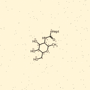 CCCCCCCC(=O)NC1C(C)OC(CO)C(O)C1O